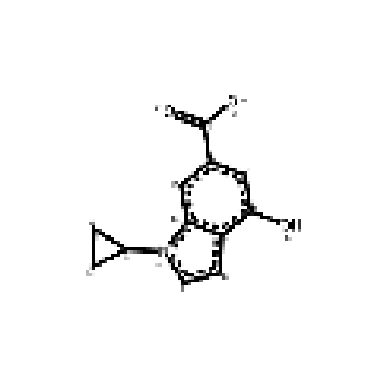 O=C(O)c1cc(O)c2ccn(C3CC3)c2c1